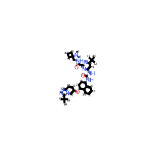 CN(C)C1(CNC(=O)c2nc(NC(=O)N[C@H]3CC[C@@H](Oc4ccc5nnc(C(C)(C)C)n5c4)c4ccccc43)cc(C(C)(C)C)n2)CCC1